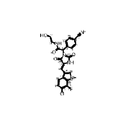 N#Cc1ccc(C(C(=O)NCCO)N2C(=O)NC(=Cc3c[nH]c4c(F)c(Cl)ccc34)C2=O)cc1